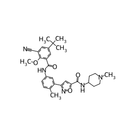 COc1c(C#N)cc(C(C)(C)C)cc1C(=O)Nc1ccc(C)c(-c2cc(C(=O)NC3CCN(C)CC3)on2)c1